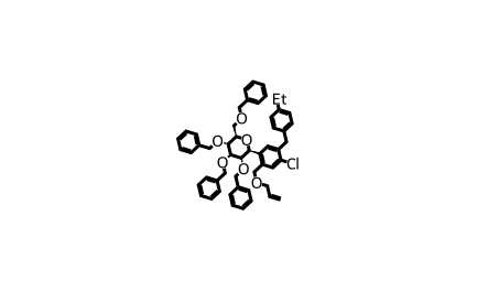 C=CCOCc1cc(Cl)c(Cc2ccc(CC)cc2)cc1[C@@H]1O[C@H](COCc2ccccc2)[C@@H](OCc2ccccc2)[C@H](OCc2ccccc2)[C@H]1OCc1ccccc1